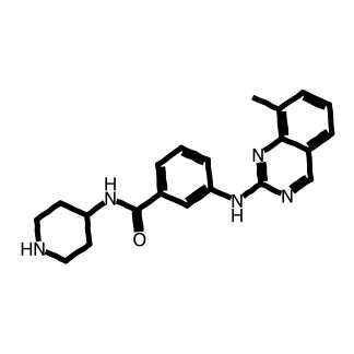 Cc1cccc2cnc(Nc3cccc(C(=O)NC4CCNCC4)c3)nc12